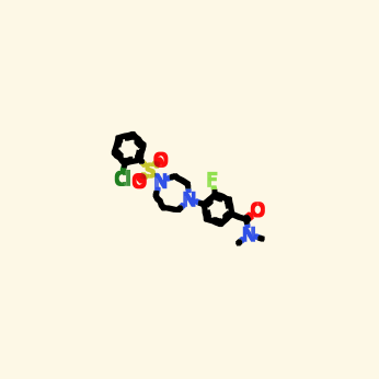 CN(C)C(=O)c1ccc(N2CCCN(S(=O)(=O)c3ccccc3Cl)CC2)c(F)c1